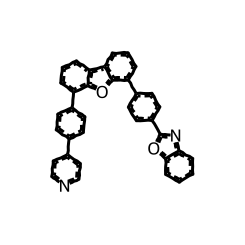 c1ccc2oc(-c3ccc(-c4cccc5c4oc4c(-c6ccc(-c7ccncc7)cc6)cccc45)cc3)nc2c1